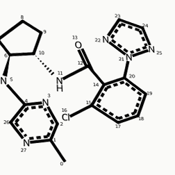 Cc1cnc(N[C@H]2CCC[C@@H]2NC(=O)c2c(Cl)cccc2-n2nccn2)cn1